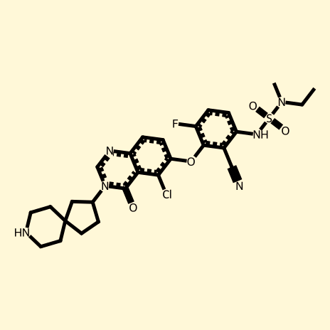 CCN(C)S(=O)(=O)Nc1ccc(F)c(Oc2ccc3ncn(C4CCC5(CCNCC5)C4)c(=O)c3c2Cl)c1C#N